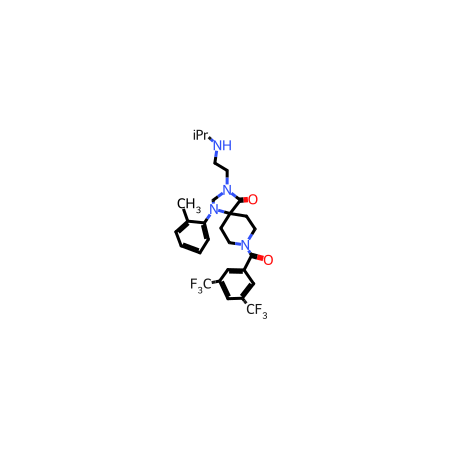 Cc1ccccc1N1CN(CCNC(C)C)C(=O)C12CCN(C(=O)c1cc(C(F)(F)F)cc(C(F)(F)F)c1)CC2